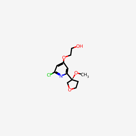 CO[C@@]1(c2cc(OCCO)cc(Cl)n2)CCOC1